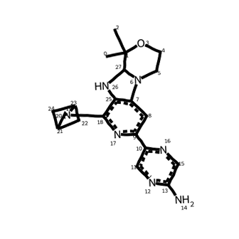 CC1(C)OCCN2c3cc(-c4cnc(N)cn4)nc(N4CC5CC4C5)c3NC21